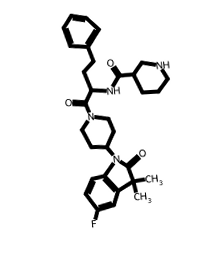 CC1(C)C(=O)N(C2CCN(C(=O)C(CCc3ccccc3)NC(=O)C3CCCNC3)CC2)c2ccc(F)cc21